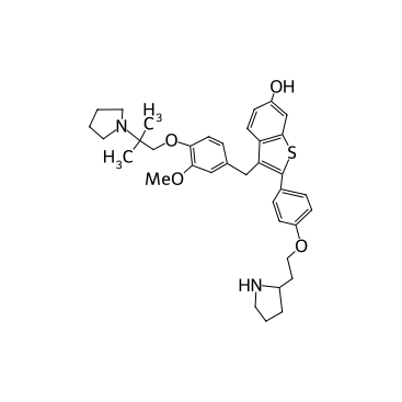 COc1cc(Cc2c(-c3ccc(OCCC4CCCN4)cc3)sc3cc(O)ccc23)ccc1OCC(C)(C)N1CCCC1